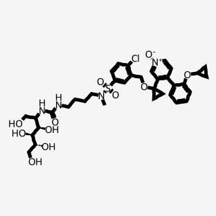 CN(CCCCNC(=O)NC(CO)[C@@H](O)[C@H](O)[C@H](O)CO)S(=O)(=O)c1ccc(Cl)c(COC2(c3c[n+]([O-])ccc3-c3ccccc3OC3CC3)CC2)c1